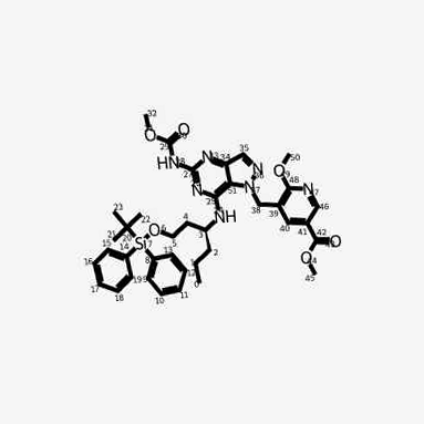 CCC[C@@H](CCO[Si](c1ccccc1)(c1ccccc1)C(C)(C)C)Nc1nc(NC(=O)OC)nc2cnn(Cc3cc(C(=O)OC)cnc3OC)c12